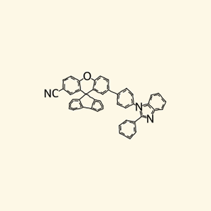 N#Cc1ccc2c(c1)C1(c3cc(-c4ccc(-n5c(-c6ccccc6)nc6ccccc65)cc4)ccc3O2)c2ccccc2-c2ccccc21